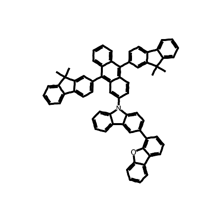 CC1(C)c2ccccc2-c2ccc(-c3c4ccccc4c(-c4ccc5c(c4)C(C)(C)c4ccccc4-5)c4cc(-n5c6ccccc6c6cc(-c7cccc8c7oc7ccccc78)ccc65)ccc34)cc21